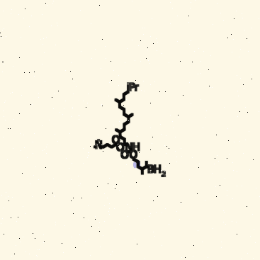 BC(C)C(C)/C=C/COC(=O)NC(CCC(C)CCCC(C)CCCC(C)CCCC(C)C)OC(=O)CCCN(C)C